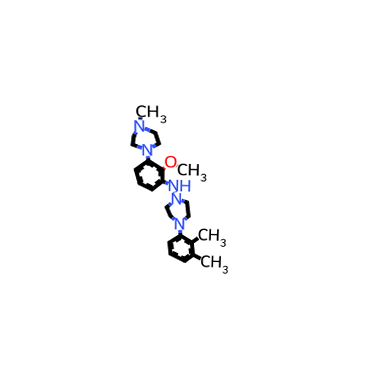 COc1c(NN2CCN(c3cccc(C)c3C)CC2)cccc1N1CCN(C)CC1